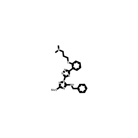 CSc1nc(NCc2ccccc2)n(-c2nnc(-c3ccccc3OCCCN(C)C)s2)n1